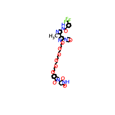 Cc1ncc(NC(=O)c2cccc(C(F)(F)F)c2)cc1-c1cnc(OCCOCCOCCOCCOCCOc2ccc3c(c2)CN(C2CCC(=O)NC2=O)C3=O)c(N2CCOCC2)c1